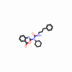 O=C(NCCCc1ccccc1)N(c1nc2ccccc2c(=O)o1)C1CCCCC1